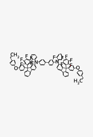 C=Cc1ccc(Oc2ccc(C3(c4c(F)c(F)c(F)c(F)c4F)c4ccccc4-c4ccc(N(c5ccc(-c6ccc(N(c7ccc8c(c7)C(c7ccc(Oc9ccc(C=C)cc9)cc7)(c7c(F)c(F)c(F)c(F)c7F)c7ccccc7-8)c7ccccc7F)cc6)cc5)c5ccccc5F)cc43)cc2)cc1